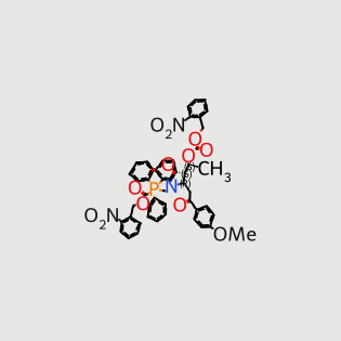 COc1ccc(C(=O)C[C@@H]2[C@@H]([C@H](C)OC(=O)OCc3ccccc3[N+](=O)[O-])C(=O)N2CP(C(=O)OCc2ccccc2[N+](=O)[O-])(c2ccccc2)(c2ccccc2)c2ccccc2)cc1